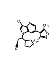 Cc1noc(C)c1-c1cnc2c(Cl)cn(C(CC#N)C3CCCC3)c2c1